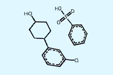 O=S(=O)(O)c1ccccc1.OC1CCC(c2cccc(Cl)c2)CC1